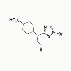 C=CCC(c1ncc(Br)s1)C1CCC(C(=O)O)CC1